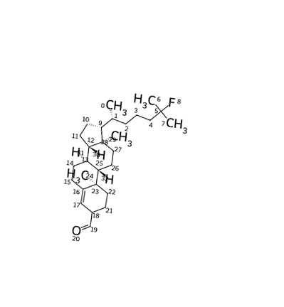 C[C@H](CCCC(C)(C)F)[C@H]1CC[C@H]2[C@@H]3CCC4=CC(C=O)CC[C@]4(C)[C@H]3CC[C@]12C